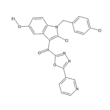 CCOc1ccc2c(c1)c(C(=O)c1nnc(-c3cccnc3)o1)c(Cl)n2Cc1ccc(Cl)cc1